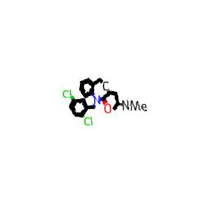 CN[C@@H](C)CC1CCc2ccccc2N(Cc2cc(Cl)ccc2Cl)C1=O